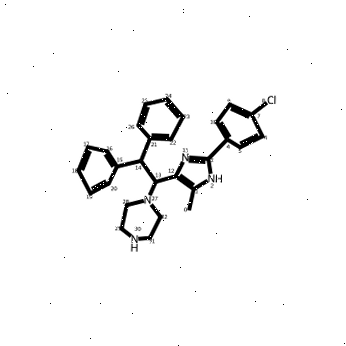 Cc1[nH]c(-c2ccc(Cl)cc2)nc1C(C(c1ccccc1)c1ccccc1)N1CCNCC1